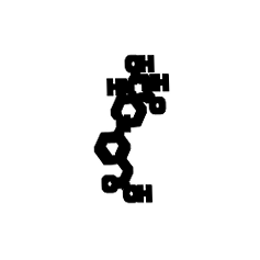 O=C(O)Cc1cccc(N2CCC3(CC2)NC(O)NC3=O)c1